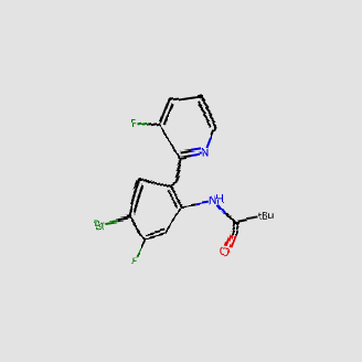 CC(C)(C)C(=O)Nc1cc(F)c(Br)cc1-c1ncccc1F